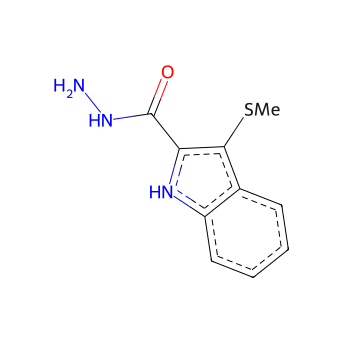 CSc1c(C(=O)NN)[nH]c2ccccc12